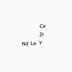 [Ce].[La].[Nd].[Y].[Zr]